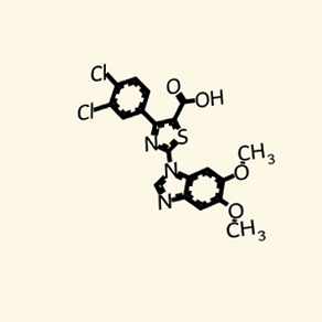 COc1cc2ncn(-c3nc(-c4ccc(Cl)c(Cl)c4)c(C(=O)O)s3)c2cc1OC